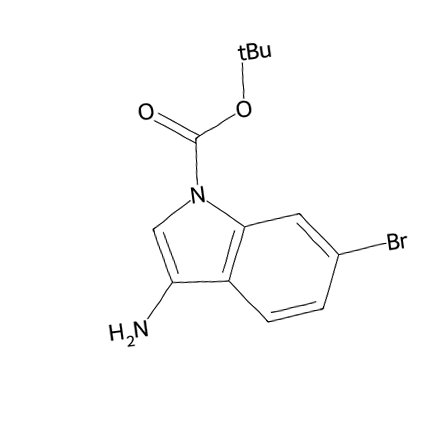 CC(C)(C)OC(=O)n1cc(N)c2ccc(Br)cc21